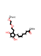 CCCCCOCCOCCC1[C@H](O)C[C@H](O)[C@@H]1C/C=C\CCCC(=O)OC